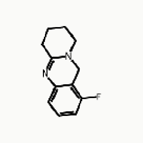 Fc1cccc2c1CN1CCCCC1=N2